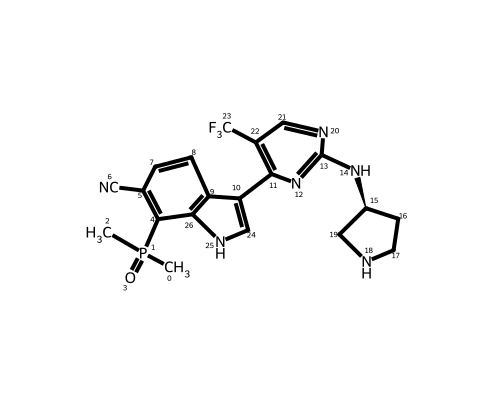 CP(C)(=O)c1c(C#N)ccc2c(-c3nc(N[C@H]4CCNC4)ncc3C(F)(F)F)c[nH]c12